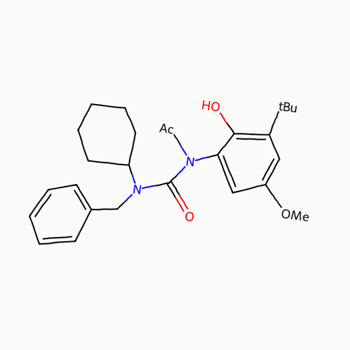 COc1cc(N(C(C)=O)C(=O)N(Cc2ccccc2)C2CCCCC2)c(O)c(C(C)(C)C)c1